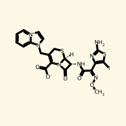 CO/N=C(\C(=O)N[C@@H]1C(=O)N2C(C(=O)[O-])=C(Cn3cc[n+]4ccccc34)CS[C@@H]12)c1nc(N)sc1I